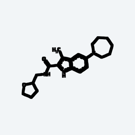 Cc1c(C(=O)NCC2CCCO2)[nH]c2ccc(N3CCCCCC3)cc12